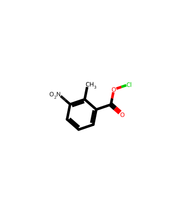 Cc1c(C(=O)OCl)cccc1[N+](=O)[O-]